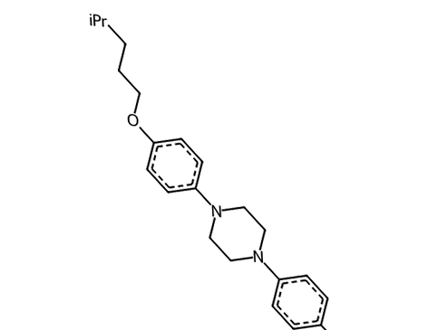 CC(C)CCCOc1ccc(N2CCN(c3ccc(C(=O)O)cc3)CC2)cc1